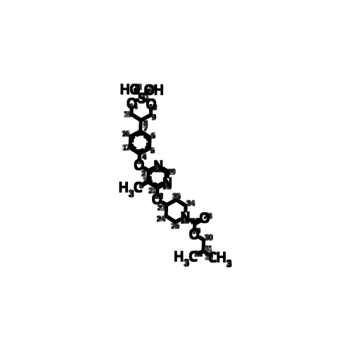 Cc1c(Oc2ccc(C3COS(O)(O)OC3)cc2)ncnc1OC1CCN(C(=O)OCC(C)C)CC1